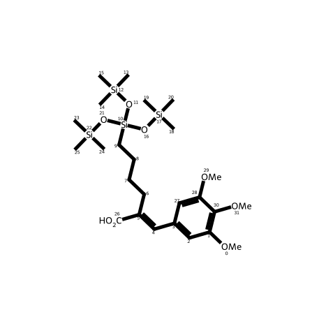 COc1cc(C=C(CCCC[Si](O[Si](C)(C)C)(O[Si](C)(C)C)O[Si](C)(C)C)C(=O)O)cc(OC)c1OC